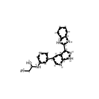 CC(C)CC(O)Nc1cncc(-c2cnc3[nH]nc(-c4nc5ccccc5[nH]4)c3c2)c1